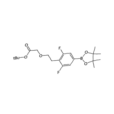 CC(C)(C)OC(=O)COCCc1c(F)cc(B2OC(C)(C)C(C)(C)O2)cc1F